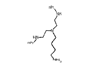 CCCNCCN(CCCCN)CCNCCC